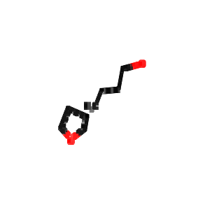 C/C=C/C=O.c1ccoc1